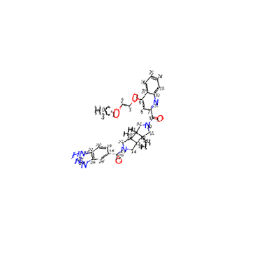 COCCOc1cc(C(=O)N2C[C@@H]3[C@H]4CN(C(=O)c5ccc6[nH]nnc6c5)C[C@H]4[C@@H]3C2)nc2ccccc12